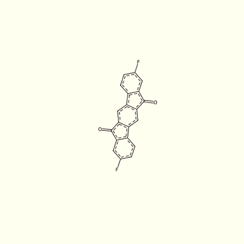 O=c1c2cc(F)ccc2c2cc3c(=O)c4cc(F)ccc4c3cc12